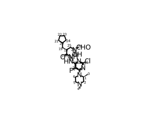 C[C@H]1CN(C)CCN1c1nc(Cl)nc(NNC(=O)[C@@H](CC2CCCC2)CN(O)C=O)c1F